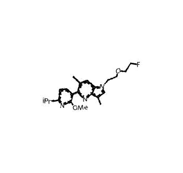 COc1nc(C(C)C)ccc1-c1nc2c(C)cn(CCOCCF)c2cc1C